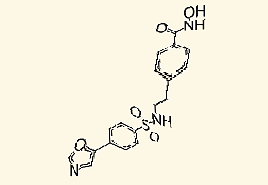 O=C(NO)c1ccc(CCNS(=O)(=O)c2ccc(-c3cnco3)cc2)cc1